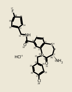 Cl.N[C@H]1CSc2ccc(C(=O)NCc3ccc(F)cc3)cc2N(Cc2ccc(Cl)cc2)C1=O